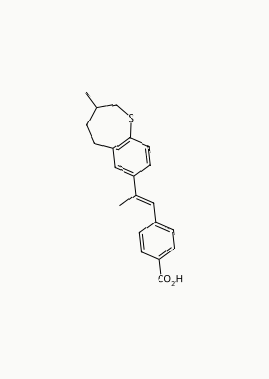 C/C(=C\c1ccc(C(=O)O)cc1)c1ccc2c(c1)CCC(C)CS2